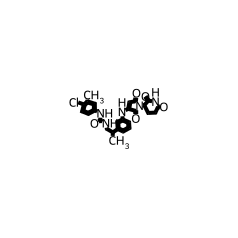 Cc1cc(NC(=O)NCC(C)c2cccc(NC3=CC(=O)N(C4CCC(=O)NC4=O)C3=O)c2)ccc1Cl